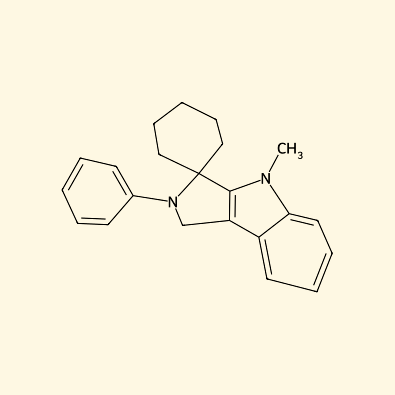 Cn1c2c(c3ccccc31)CN(c1ccccc1)C21CCCCC1